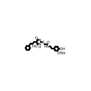 COc1cc(CCNC(=O)CSc2nc(=O)c(C/C=C/c3ccccc3)c(O)[nH]2)ccc1O